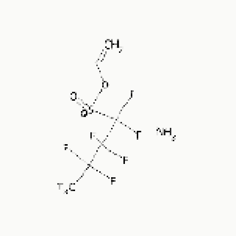 C=COS(=O)(=O)C(F)(F)C(F)(F)C(F)(F)C(F)(F)F.N